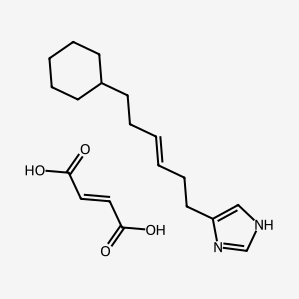 C(=CCCC1CCCCC1)CCc1c[nH]cn1.O=C(O)C=CC(=O)O